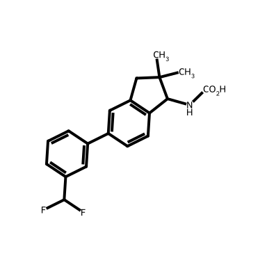 CC1(C)Cc2cc(-c3cccc(C(F)F)c3)ccc2C1NC(=O)O